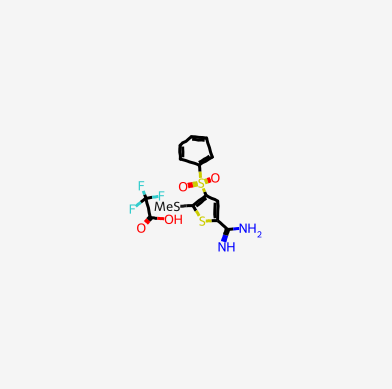 CSc1sc(C(=N)N)cc1S(=O)(=O)c1ccccc1.O=C(O)C(F)(F)F